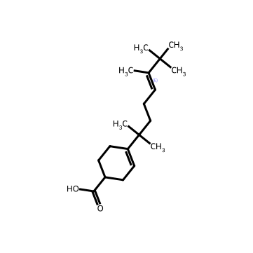 C/C(=C\CCC(C)(C)C1=CCC(C(=O)O)CC1)C(C)(C)C